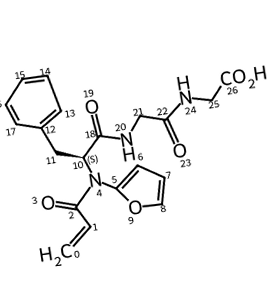 C=CC(=O)N(c1ccco1)[C@@H](Cc1ccccc1)C(=O)NCC(=O)NCC(=O)O